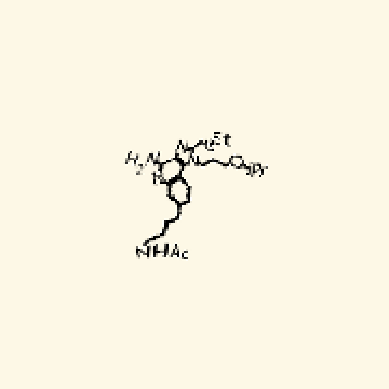 CCOCc1nc2c(N)nc3cc(CCCCNC(C)=O)ccc3c2n1CCCOC(C)C